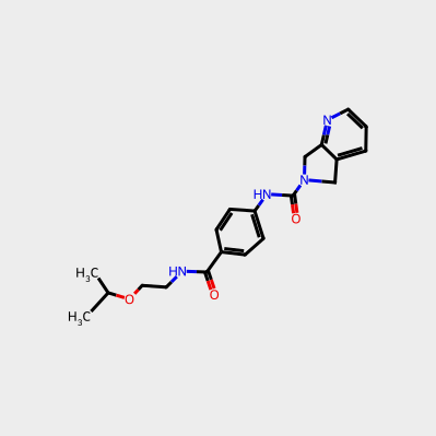 CC(C)OCCNC(=O)c1ccc(NC(=O)N2Cc3cccnc3C2)cc1